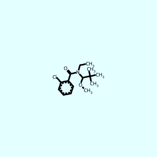 CCN(C(=O)c1ccccc1Cl)C(OC)C(C)(C)C